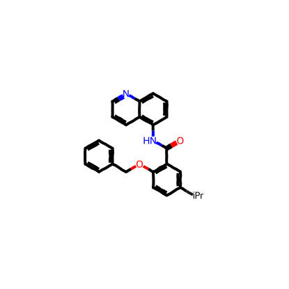 CC(C)c1ccc(OCc2ccccc2)c(C(=O)Nc2cccc3ncccc23)c1